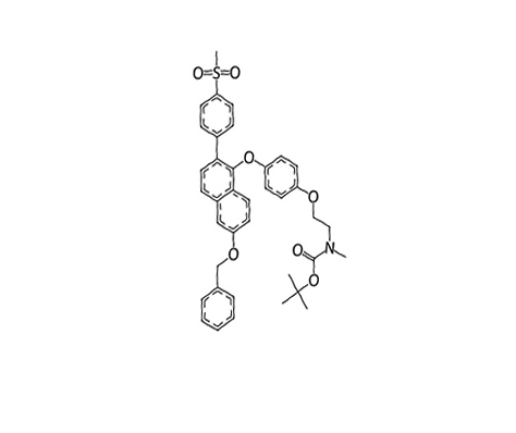 CN(CCOc1ccc(Oc2c(-c3ccc(S(C)(=O)=O)cc3)ccc3cc(OCc4ccccc4)ccc23)cc1)C(=O)OC(C)(C)C